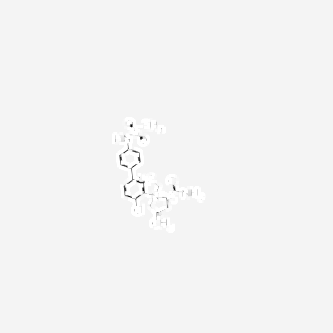 C[C@H]1C[C@@H](C(N)=O)[N+](CC#N)(c2cc(-c3ccc(NS(C)(=O)=O)cc3)ccc2Cl)C1